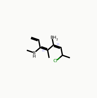 BC(=C/C(C)Cl)/C(C)=C(/BC)C=C